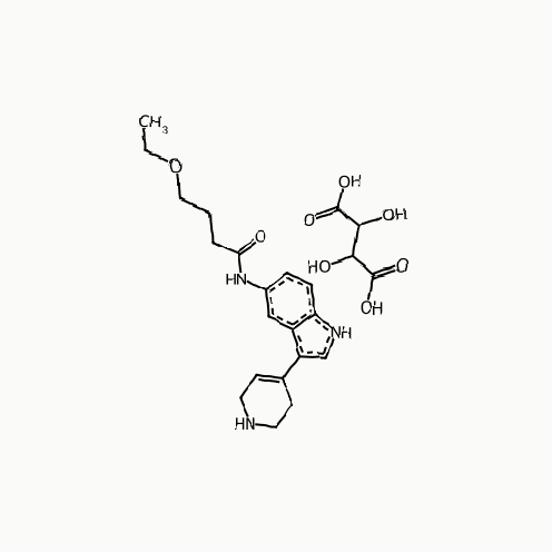 CCOCCCC(=O)Nc1ccc2[nH]cc(C3=CCNCC3)c2c1.O=C(O)C(O)C(O)C(=O)O